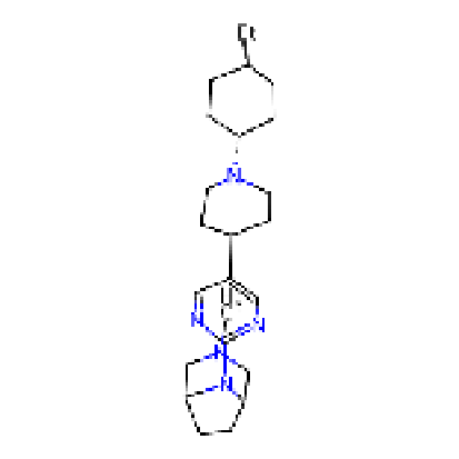 CC[C@H]1CC[C@H](N2CCC(c3cnc(N4C5CCC4CN(C)C5)nc3)CC2)CC1